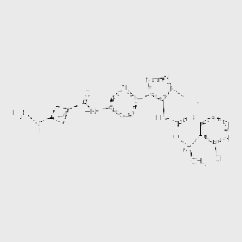 CNC12CC(C(=O)Nc3ccc(-c4nnn(C)c4NC(=O)O[C@H](C)c4cccnc4Cl)nc3)(C1)C2